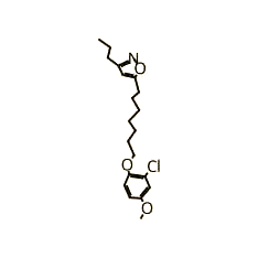 CCCc1cc(CCCCCCCOc2ccc(OC)cc2Cl)on1